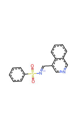 O=S(=O)(/N=C/c1cncc2ccccc12)c1ccccc1